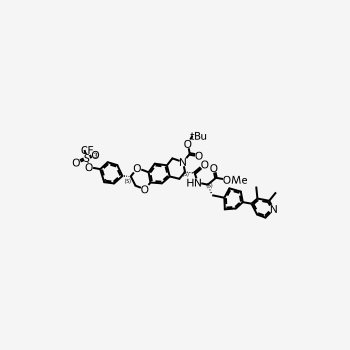 COC(=O)[C@H](Cc1ccc(-c2ccnc(C)c2C)cc1)NC(=O)[C@@H]1Cc2cc3c(cc2CN1C(=O)OC(C)(C)C)O[C@@H](c1ccc(OS(=O)(=O)C(F)(F)F)cc1)CO3